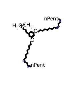 CCCCC/C=C\C/C=C\CCCCCCCCOc1cc(CCCN(C)C)cc(OCCCCCCCC/C=C\C/C=C\CCCCC)c1